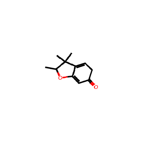 CC1OC2=CC(=O)CC=C2C1(C)C